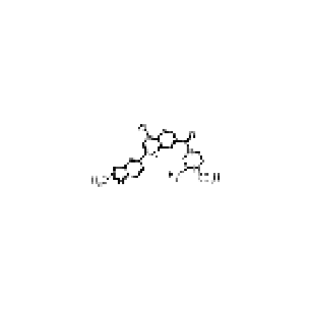 CC1CN(C(=O)c2ccc3c(Cl)cc(-c4ccc5nn(C)cc5c4)nc3c2)CCN1C(=O)O